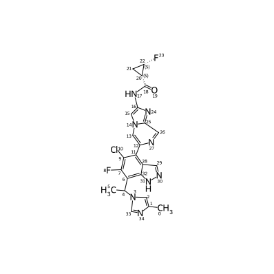 Cc1cn(C(C)c2c(F)c(Cl)c(-c3cn4cc(NC(=O)[C@@H]5C[C@@H]5F)nc4cn3)c3cn[nH]c23)cn1